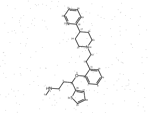 CNCCC(Oc1ccccc1CCN1CCC(c2ccccn2)CC1)c1cccs1